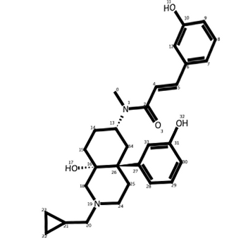 CN(C(=O)C=Cc1cccc(O)c1)[C@H]1CC[C@]2(O)CN(CC3CC3)CC[C@@]2(c2cccc(O)c2)C1